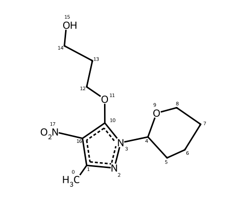 Cc1nn(C2CCCCO2)c(OCCCO)c1[N+](=O)[O-]